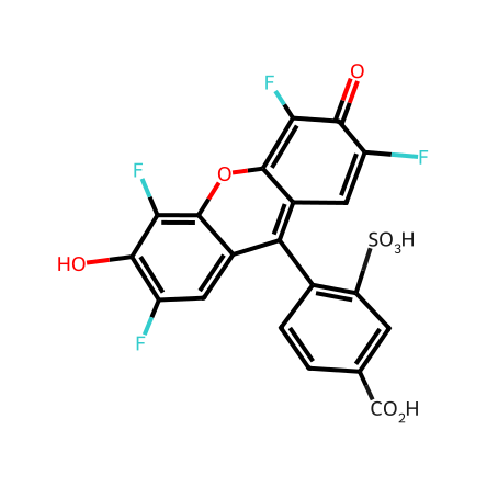 O=C(O)c1ccc(-c2c3cc(F)c(=O)c(F)c-3oc3c(F)c(O)c(F)cc23)c(S(=O)(=O)O)c1